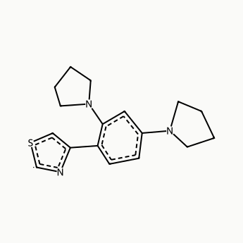 [c]1nc(-c2ccc(N3CCCC3)cc2N2CCCC2)cs1